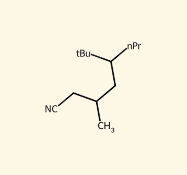 CCCC(CC(C)CC#N)C(C)(C)C